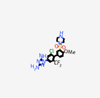 COc1ccc(-c2c(Cl)cc(-n3nc(N)nc3N)cc2C(F)(F)F)cc1S(=O)(=O)N1CCNCC1